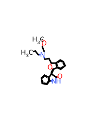 CCCN(CCOC)CCC1OC(=C2C(=O)Nc3ccccc32)c2ccccc21